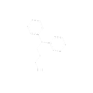 PCCCC(c1ccccc1)c1ccccc1